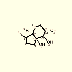 OC1CC[C@@]2(O)[C@@H]1O[CH][C@H](O)[C@H]2O